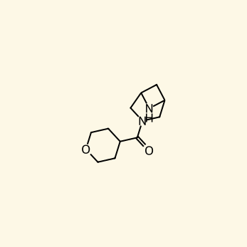 O=C(C1CCOCC1)N1CC2CC(C1)N2